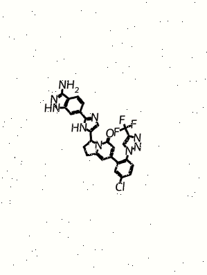 Nc1n[nH]c2cc(-c3ncc(C4CCc5cc(-c6cc(Cl)ccc6-n6cc(C(F)(F)F)nn6)cc(=O)n54)[nH]3)ccc12